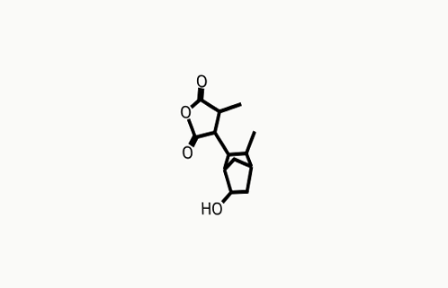 CC1C(=O)OC(=O)C1C1C(C)C2CC(O)C1C2